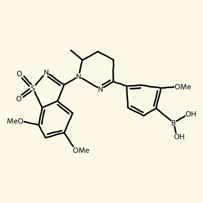 COc1cc(OC)c2c(c1)C(N1N=C(c3ccc(B(O)O)c(OC)c3)CCC1C)=NS2(=O)=O